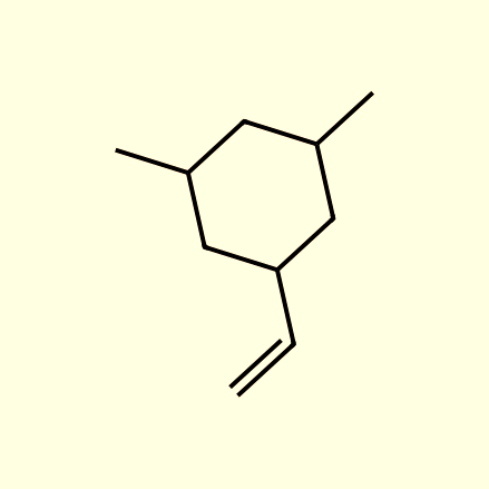 C=CC1CC(C)CC(C)C1